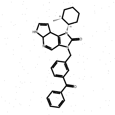 C[C@@H]1CCCC[C@@H]1n1c2c(n(Cc3cccc(C(=O)c4ccccc4)c3)c1=O)C=NC1NC=CC21